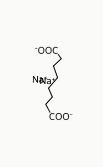 O=C([O-])CCCCCCC(=O)[O-].[Na+].[Na+]